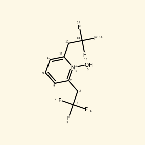 O[n+]1c(CC(F)(F)F)cccc1CC(F)(F)F